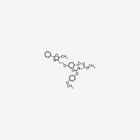 COC(=O)CN(C(=O)Oc1ccc(OC)cc1)C1(c2ccc(OCCc3nc(-c4ccccc4)oc3C)cc2)CC1